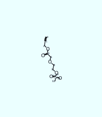 C#CCOC(=O)COCCOS(C)(=O)=O